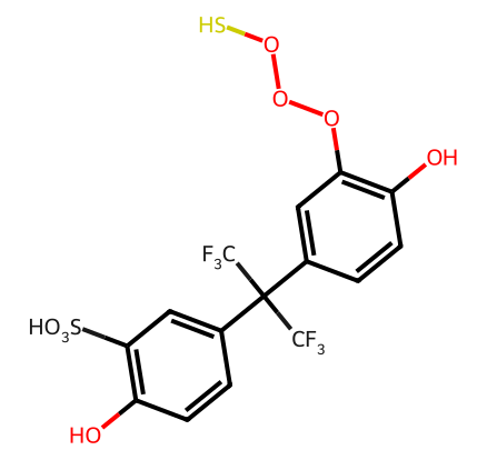 O=S(=O)(O)c1cc(C(c2ccc(O)c(OOOS)c2)(C(F)(F)F)C(F)(F)F)ccc1O